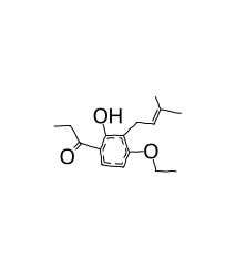 CCOc1ccc(C(=O)CC)c(O)c1CC=C(C)C